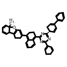 CC12C=CC=CC1C1=C(C=C(C3=c4ccccc4=C(c4nc(C5=CCCC=C5)nc([C@@H]5C=CC(c6ccccc6)=CC5)n4)CC3)CC1)O2